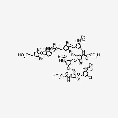 CCC(=O)Nc1cc(C)cc(COc2c(Br)cc(CC(F)C(=O)O)cc2Br)c1.CCC(=O)Nc1cc(COc2c(Br)cc(NC(=O)CC(=O)O)cc2Br)cc(C(F)(F)F)c1.CCC(=O)Nc1cc(Cl)cc(COc2c(Br)cc(NC(=O)CC(=O)O)cc2Br)c1.CCC(=O)Nc1cccc(COc2c(Br)cc(CCC(=O)O)cc2Br)c1Cl